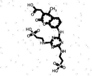 Cc1c(CC(=O)O)c(=O)oc2cc(Nc3nc(NCCS(=O)(=O)O)nc(NCCS(=O)(=O)O)n3)ccc12